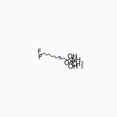 C[C@@](N)(C(=O)O)C(O)CC/C=C/CCCCCCC(F)F